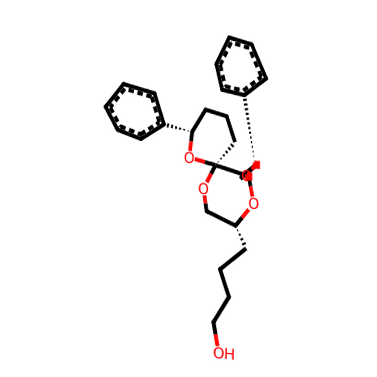 OCCCC[C@@H]1CO[C@]2(CCC[C@@H](c3ccccc3)O2)[C@@]2(CCC[C@@H](c3ccccc3)O2)O1